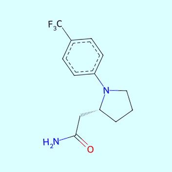 NC(=O)C[C@H]1CCCN1c1ccc(C(F)(F)F)cc1